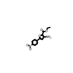 CCOC(=O)c1oc(-c2ccc([N+](=O)[O-])cc2)cc1N